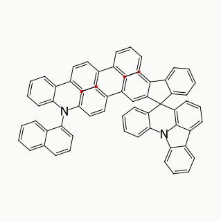 c1ccc(-c2ccc(-c3ccccc3N(c3ccc(-c4ccc5c(c4)C4(c6ccccc6-5)c5ccccc5-n5c6ccccc6c6cccc4c65)cc3)c3cccc4ccccc34)cc2)cc1